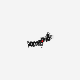 N[C@@H](CC(=O)N1C[C@H]2C[C@@H]1CN2C(=O)Nc1ccc(Cl)c(C(F)(F)F)c1)Cc1cc(F)c(F)cc1F